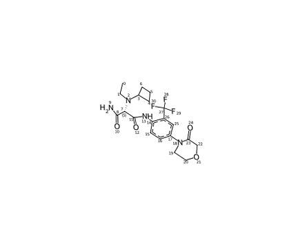 CCN(C1CCC1)[C@@H](C(N)=O)C(=O)Nc1ccc(N2CCOCC2=O)cc1C(F)(F)F